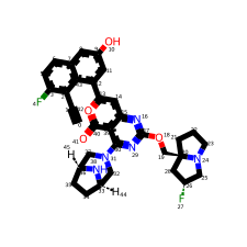 C#Cc1c(F)ccc2cc(O)cc(-c3cc4nc(OC[C@@]56CCCN5C[C@H](F)C6)nc(N5C[C@H]6CC[C@@H](C5)N6)c4c(=O)o3)c12